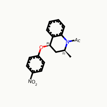 CC(=O)N1c2ccccc2[C@H](Oc2ccc([N+](=O)[O-])cc2)C[C@@H]1C